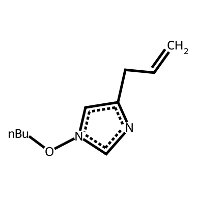 C=CCc1cn(OCCCC)cn1